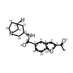 CC(=O)c1cc2cc(C(=O)N[C@@H]3C[C@H]4CCN(C4)C3)ccc2o1